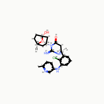 Cc1ccc(Nc2cccc([C@]3(C)CC(=O)N([C@@H]4C[C@H]5CC[C@@](O)(C4)O5)C(=N)N3)c2Cl)cn1